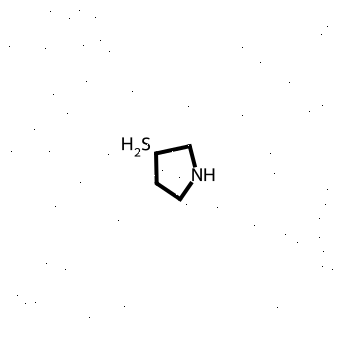 C1CCNC1.S